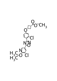 CCOC(=O)[C@H]1C[C@H](Oc2ccc(-c3noc(-c4cnc(OC(C)C)c(Cl)c4)n3)c(Cl)c2)C1